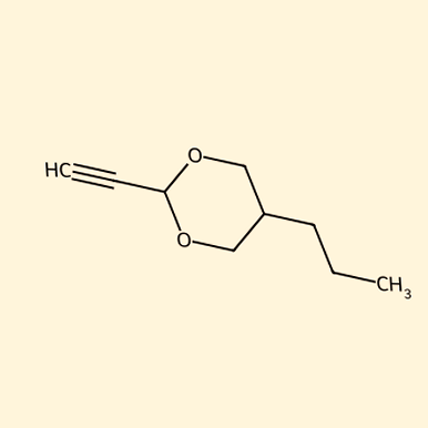 C#CC1OCC(CCC)CO1